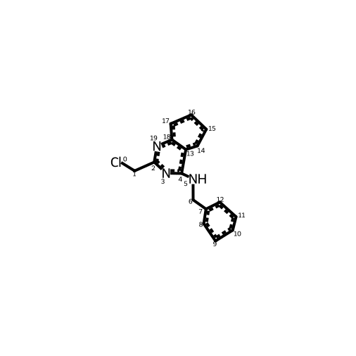 ClCc1nc(NCc2ccccc2)c2ccccc2n1